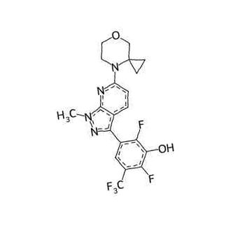 Cn1nc(-c2cc(C(F)(F)F)c(F)c(O)c2F)c2ccc(N3CCOCC34CC4)nc21